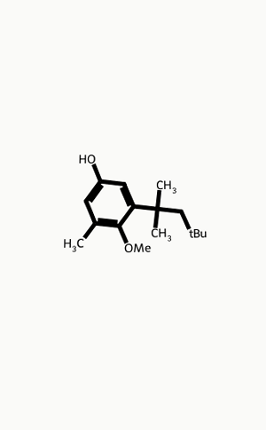 COc1c(C)cc(O)cc1C(C)(C)CC(C)(C)C